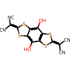 [C-]#[N+]C([N+]#[C-])=C1Sc2c(O)c3c(c(O)c2S1)SC(=C(C#N)C#N)S3